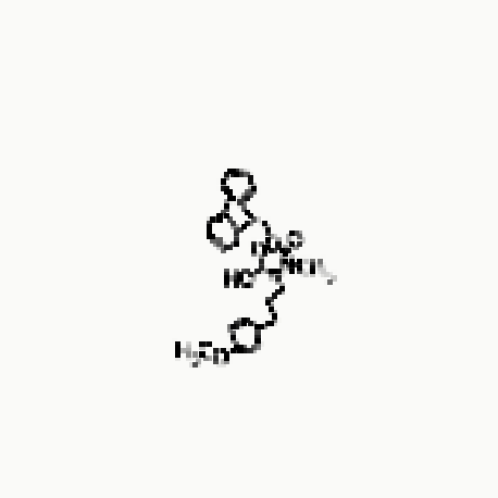 COc1ccc(CCC[C@@H](C(=O)O)N(C)C(=O)OCC2c3ccccc3-c3ccccc32)cc1